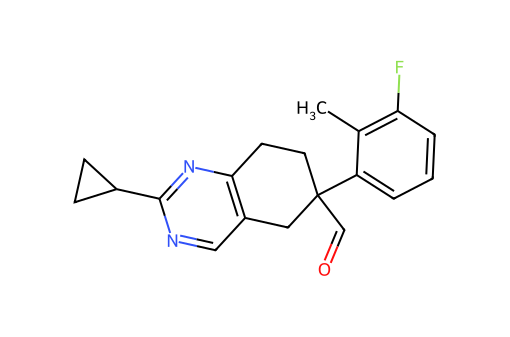 Cc1c(F)cccc1C1(C=O)CCc2nc(C3CC3)ncc2C1